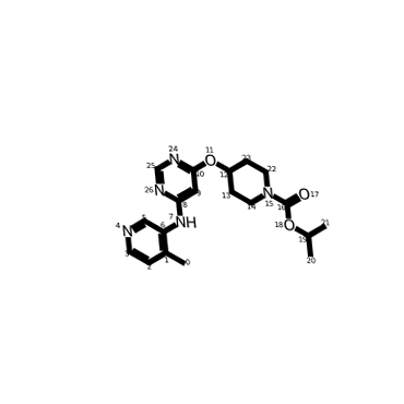 Cc1ccncc1Nc1cc(OC2CCN(C(=O)OC(C)C)CC2)ncn1